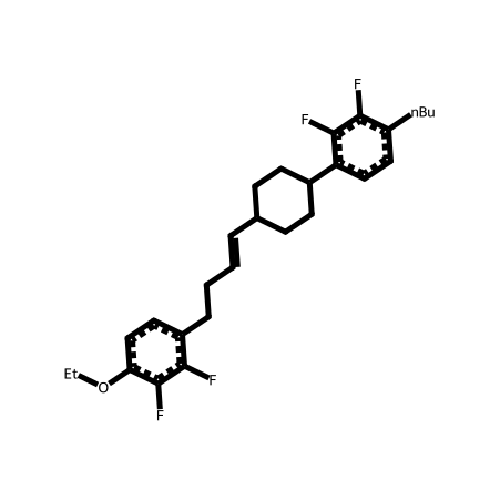 CCCCc1ccc(C2CCC(/C=C/CCc3ccc(OCC)c(F)c3F)CC2)c(F)c1F